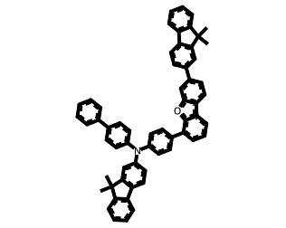 CC1(C)c2ccccc2-c2ccc(-c3ccc4c(c3)oc3c(-c5ccc(N(c6ccc(-c7ccccc7)cc6)c6ccc7c(c6)C(C)(C)c6ccccc6-7)cc5)cccc34)cc21